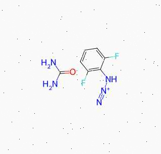 N#[N+]Nc1c(F)cccc1F.NC(N)=O